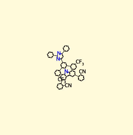 N#Cc1ccccc1-c1ccc2c(c1)c1cc(-c3ccccc3C#N)ccc1n2-c1c(-c2cccc(C(F)(F)F)c2)cc(-c2cc(-c3ccccc3)nc(-c3ccccc3)n2)cc1-c1cccc(C(F)(F)F)c1